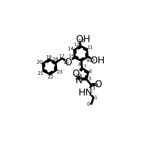 CCNC(=O)c1cc(-c2c(O)cc(O)cc2OCc2ccccc2)on1